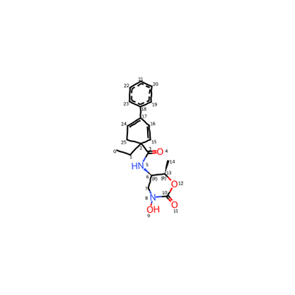 CCC1(C(=O)N[C@@H]2CN(O)C(=O)O[C@@H]2C)C=CC(c2ccccc2)=CC1